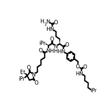 CCC1(C(C)C)CC(=O)N(CCCCCC(=O)N[C@H](C(=O)N[C@@H](CCCNC(N)=O)C(=O)Nc2ccc(COC(=O)NCCCCC(C)C)cc2)C(C)C)C1=O